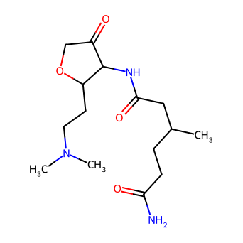 CC(CCC(N)=O)CC(=O)NC1C(=O)COC1CCN(C)C